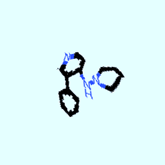 [c]1nccc(NN2CCCC2)c1-c1ccccc1